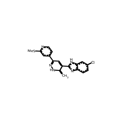 C=C1NN=C(c2ccnc(SC)c2)C=C1c1nc2ccc(Cl)cc2[nH]1